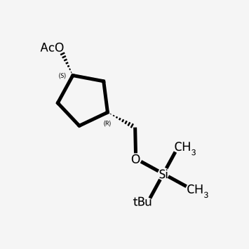 CC(=O)O[C@H]1CC[C@@H](CO[Si](C)(C)C(C)(C)C)C1